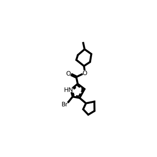 CC1CCC(OC(=O)c2cc(C3CCCC3)c(Br)[nH]2)CC1